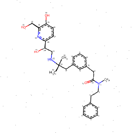 CN(CCc1ccccc1)C(=O)Cc1cccc(CC(C)(C)NCC(O)c2ccc(O)c(CO)n2)c1